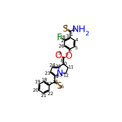 NC(=S)c1ccc(OC(=O)C2CCn3c(C(=S)c4ccccc4)ccc32)cc1F